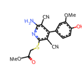 COC(=O)CSc1nc(N)c(C#N)c(-c2ccc(O)c(OC)c2)c1C#N